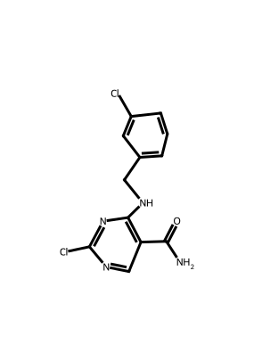 NC(=O)c1cnc(Cl)nc1NCc1cccc(Cl)c1